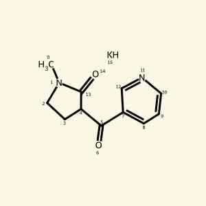 CN1CCC(C(=O)c2cccnc2)C1=O.[KH]